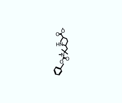 COC(=O)C1CCC(CC(C)(C)N(C)C(=O)OCc2ccccc2)NC1